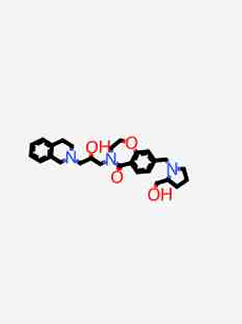 O=C1c2ccc(CN3CCCC3CO)cc2OCCN1CC(O)CN1CCc2ccccc2C1